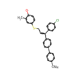 COc1ccc(-c2ccc(/C(=C/CSc3ccc([O])c(C)c3)c3ccc(Cl)cc3)cc2)cc1